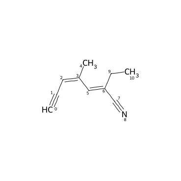 C#C/C=C(C)\C=C(\C#N)CC